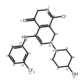 O=C1CN=C(Cl)C2=C1C(Nc1cccc(C(F)(F)F)c1)=CN(N1CCC(O)CC1)C2